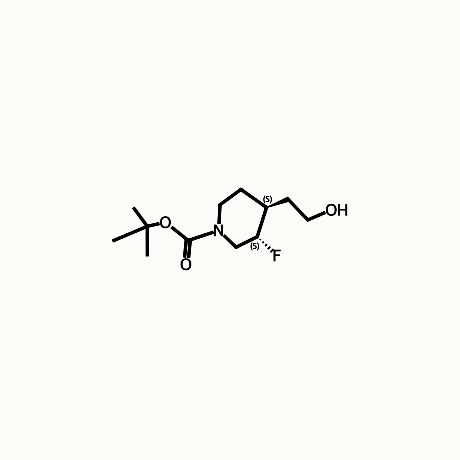 CC(C)(C)OC(=O)N1CC[C@@H](CCO)[C@H](F)C1